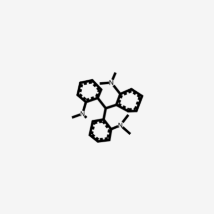 CN(C)c1ccccc1[C](c1ccccc1N(C)C)c1ccccc1N(C)C